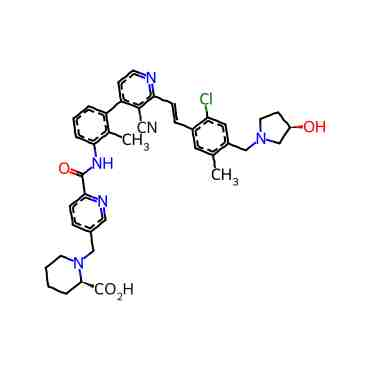 Cc1cc(/C=C/c2nccc(-c3cccc(NC(=O)c4ccc(CN5CCCC[C@@H]5C(=O)O)cn4)c3C)c2C#N)c(Cl)cc1CN1CC[C@@H](O)C1